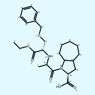 CCOC(=O)[C@H](COCc1ccccc1)NC(C)C(=O)N1C2CCCCCC2C[C@H]1C(=O)O